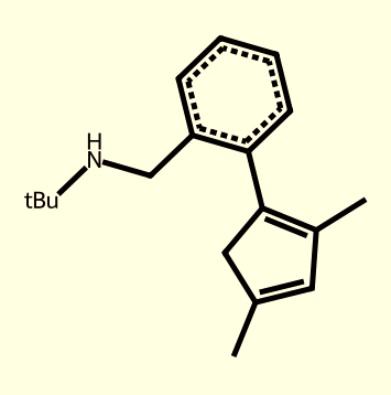 CC1=CC(C)=C(c2ccccc2CNC(C)(C)C)C1